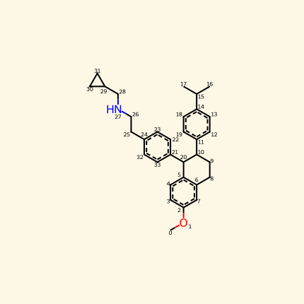 COc1ccc2c(c1)CCC(c1ccc(C(C)C)cc1)C2c1ccc(CCNCC2CC2)cc1